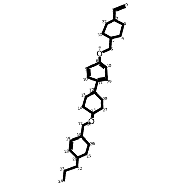 C=CC1CCC(COc2ccc(C3CCC(OCC4C=CC(CCC)CC4)CC3)cc2)CC1